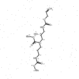 C=CCOC(=O)NC[C@@H](O)CN(CCCNC(=O)OC(C)(C)C)C(=O)OC(C)(C)C